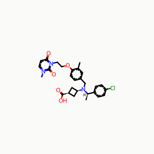 Cc1cc(CN([C@H]2C[C@@H](C(=O)O)C2)[C@H](C)c2ccc(Cl)cc2)ccc1OCCn1c(=O)ccn(C)c1=O